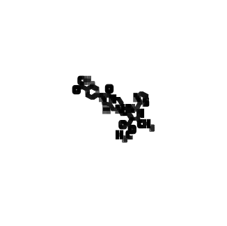 COC(=O)C1=C(CN2CCN3C(=O)N(c4ccc(C(C)=O)cc4)C[C@@H]3C2)NC(c2nccs2)=N[C@H]1C